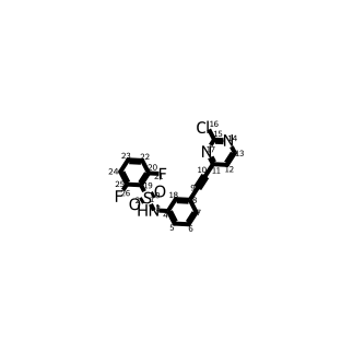 O=S(=O)(Nc1cccc(C#Cc2ccnc(Cl)n2)c1)c1c(F)cccc1F